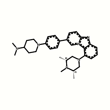 C[C@@H]1CN(c2cccc3nc4ccc(-c5ccc(N6CCC(N(C)C)CC6)cc5)cn4c23)C[C@H](C)N1C